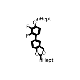 CCCCCCCOc1ccc(-c2ccc3c(c2)COC(CCCCCCC)O3)c(F)c1F